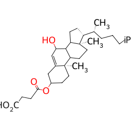 CC(C)CCC[C@@H](C)[C@H]1CCC2C3C(O)C=C4CC(OC(=O)CCC(=O)O)CC[C@]4(C)C3CC[C@@]21C